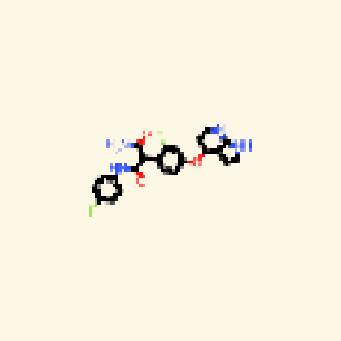 NC(=O)C(C(=O)Nc1ccc(F)cc1)c1ccc(Oc2ccnc3[nH]ccc23)cc1F